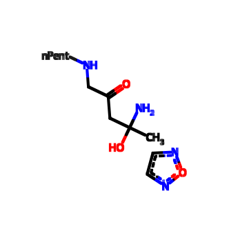 CCCCCNCC(=O)CC(C)(N)O.c1cnon1